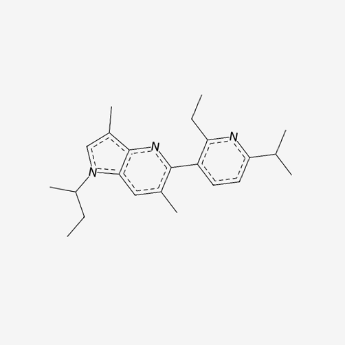 CCc1nc(C(C)C)ccc1-c1nc2c(C)cn(C(C)CC)c2cc1C